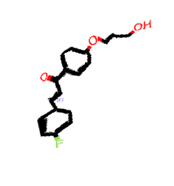 O=C(/C=C/c1ccc(F)cc1)c1ccc(OCCCO)cc1